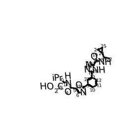 CC(C)C(NC(=O)c1cnc(-c2cccc(-c3nnc(C(=O)NC(C)C4CC4)[nH]3)c2)o1)C(=O)O